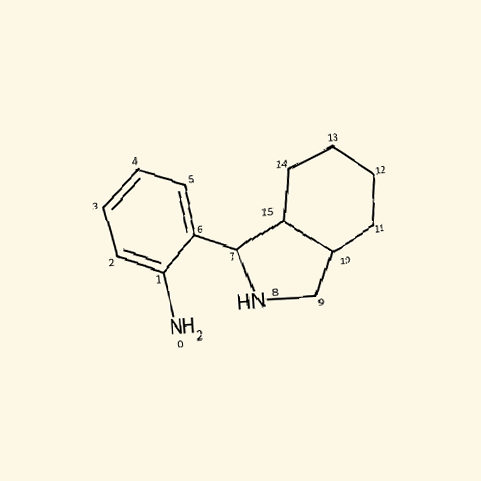 Nc1ccccc1C1NCC2CCCCC21